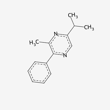 Cc1nc(C(C)C)cnc1-c1ccccc1